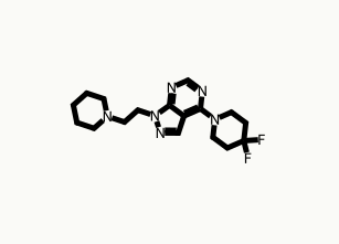 FC1(F)CCN(c2ncnc3c2cnn3CCN2CCCCC2)CC1